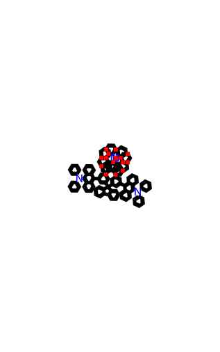 c1ccc(N(c2ccccc2)c2c3ccccc3c(-c3cc(-c4c5ccccc5c(N(c5ccccc5)c5ccccc5)c5ccccc45)cc(C4(c5cc(-c6c7ccccc7c(N(c7ccccc7)c7ccccc7)c7ccccc67)cc(-c6c7ccccc7c(N(c7ccccc7)c7ccccc7)c7ccccc67)c5)c5ccccc5-c5ccccc54)c3)c3ccccc23)cc1